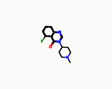 CN1CCC(n2cnc3cccc(F)c3c2=O)CC1